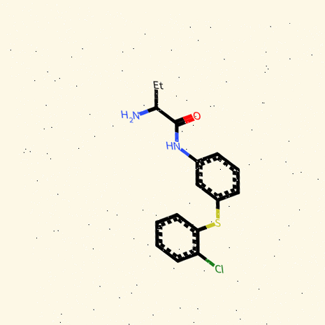 CCC(N)C(=O)Nc1cccc(Sc2ccccc2Cl)c1